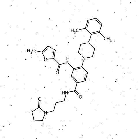 Cc1ccc(C(=O)Nc2cc(C(=O)NCCCN3CCCC3=O)ccc2N2CCN(c3c(C)cccc3C)CC2)o1